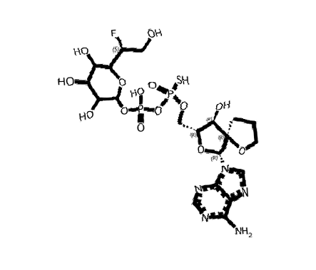 Nc1ncnc2c1ncn2[C@@H]1O[C@H](COP(=O)(S)OP(=O)(O)OC2OC([C@@H](F)CO)C(O)C(O)C2O)[C@@H](O)[C@]12CCCO2